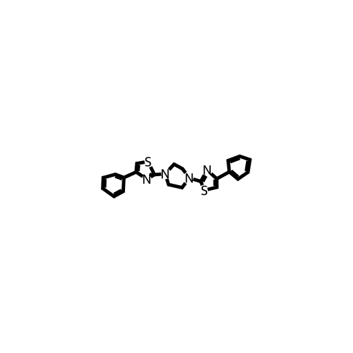 c1ccc(-c2csc(N3CCN(c4nc(-c5ccccc5)cs4)CC3)n2)cc1